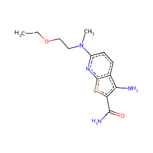 CCOCCN(C)c1ccc2c(N)c(C(N)=O)sc2n1